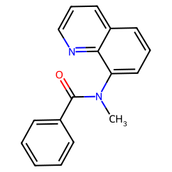 CN(C(=O)c1ccccc1)c1cccc2cccnc12